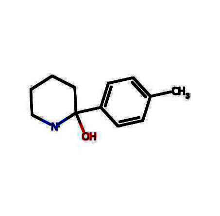 Cc1ccc(C2(O)CCCC[N]2)cc1